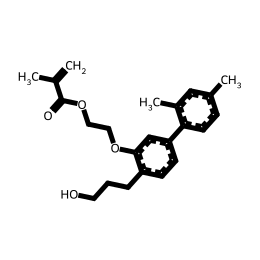 C=C(C)C(=O)OCCOc1cc(-c2ccc(C)cc2C)ccc1CCCO